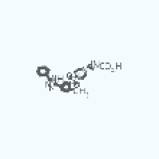 Cc1ccc(-c2nnc(-c3ccccc3)[nH]2)cc1S(=O)(=O)N1CCN(CCNC(=O)O)CC1